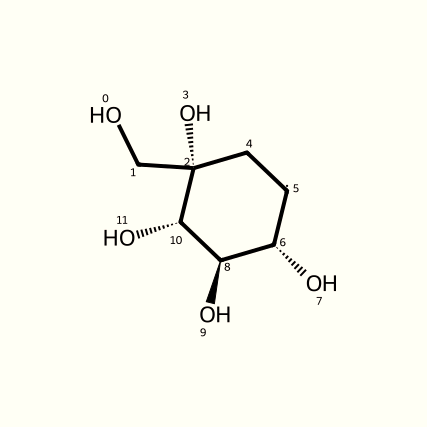 OC[C@@]1(O)C[CH][C@H](O)[C@@H](O)[C@@H]1O